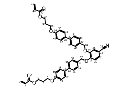 C=CC(=O)OCCCOc1ccc(-c2ccc(COc3ccc(C#N)cc3OCc3ccc(-c4ccc(OCCCOC(=O)C=C)cc4)cc3)cc2)cc1